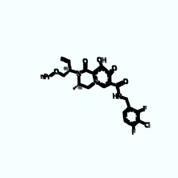 C=C[C@H](COCCC)N1C(=O)c2c(O)c(=O)c(C(=O)NCc3ccc(F)c(Cl)c3F)cn2C[C@@H]1C